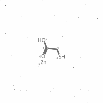 O=C(O)CS.[Zn]